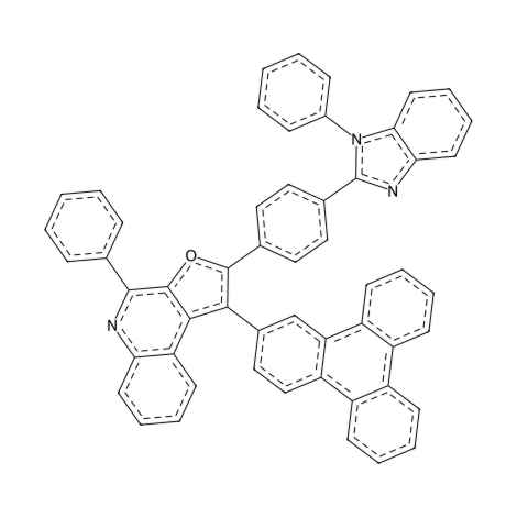 c1ccc(-c2nc3ccccc3c3c(-c4ccc5c6ccccc6c6ccccc6c5c4)c(-c4ccc(-c5nc6ccccc6n5-c5ccccc5)cc4)oc23)cc1